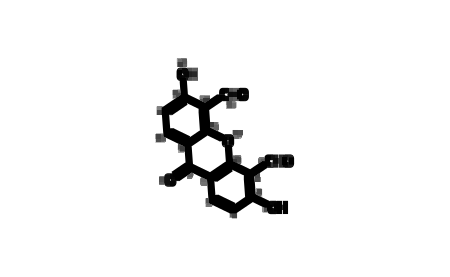 O=Cc1c(O)ccc2c(=O)c3ccc(O)c(C=O)c3oc12